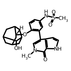 Cn1cc(-c2cc(NS(C)(=O)=O)ccc2O[C@@H]2CC3CC4CC2CC(C3)C4O)c2cc[nH]c2c1=O